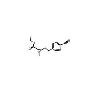 CCOC(=O)C1NC1CCc1ccc(C#N)cc1